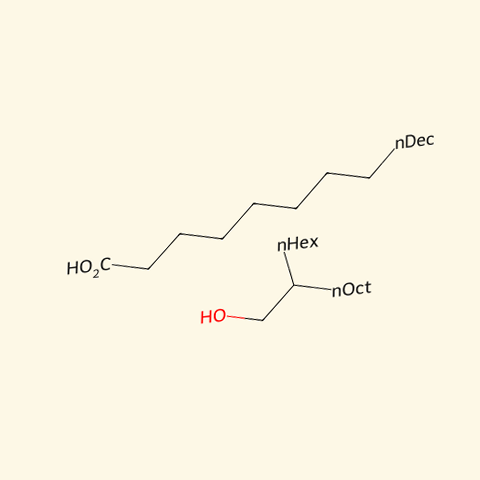 CCCCCCCCC(CO)CCCCCC.CCCCCCCCCCCCCCCCCC(=O)O